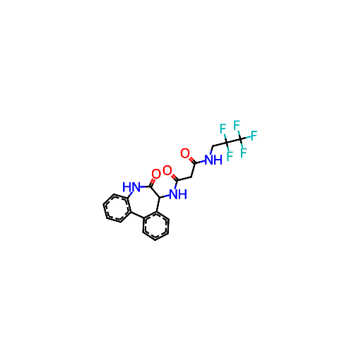 O=C(CC(=O)NC1C(=O)Nc2ccccc2-c2ccccc21)NCC(F)(F)C(F)(F)F